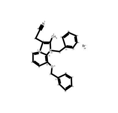 Cc1c(CC#N)[n+]2cccc(OCc3ccccc3)c2n1Cc1ccccc1.[Br-]